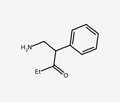 CCC(=O)C(CN)c1ccccc1